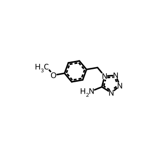 COc1ccc(Cn2nnnc2N)cc1